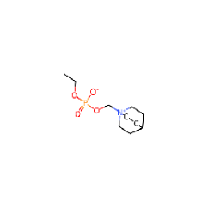 CCOP(=O)([O-])OC[N+]12CCC(CC1)CC2